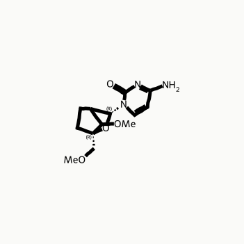 COC[C@]12CCC(C1OC)[C@H](n1ccc(N)nc1=O)O2